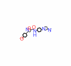 COc1ccc(C2=NOC(C(=O)Nc3ccc(N4CCC(N(C)C)C4)cc3)C2)cc1